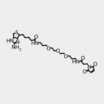 NC1=NC2C(CSC2CCCCC(=O)NCCCOCCOCCOCCCNC(=O)CCN2C(=O)C=CC2=O)N1